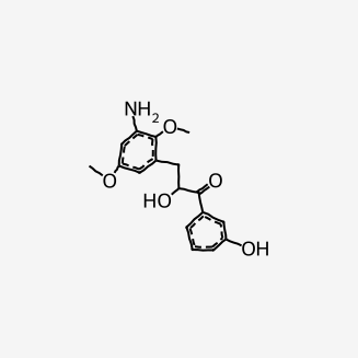 COc1cc(N)c(OC)c(CC(O)C(=O)c2cccc(O)c2)c1